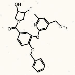 Cc1cc(CN)cc(Oc2cc(C(=O)N3CC(O)C(F)C3)ccc2OCc2ccccc2)n1